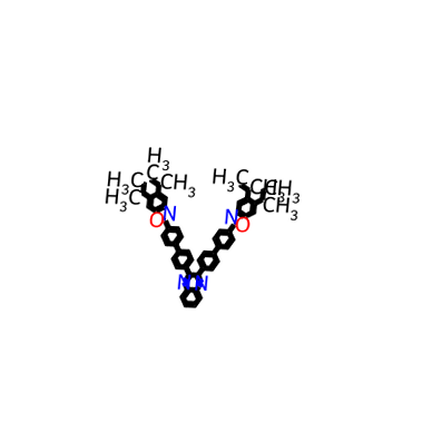 CCC(C)c1cc2nc(-c3ccc(-c4ccc(-c5nc6ccccc6nc5-c5ccc(-c6ccc(-c7nc8cc(C(C)CC)c(C(C)CC)cc8o7)cc6)cc5)cc4)cc3)oc2cc1C(C)CC